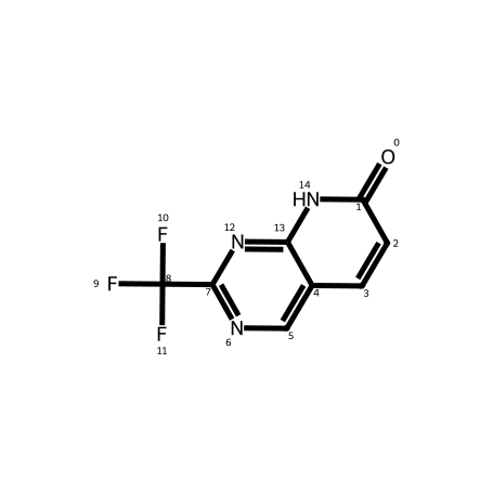 O=c1ccc2cnc(C(F)(F)F)nc2[nH]1